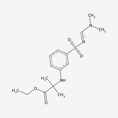 CCOC(=O)C(C)(C)Nc1cccc(S(=O)(=O)/N=C/N(C)C)c1